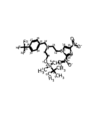 CC(C)(C)[Si](C)(C)OCCN(CCn1cc([N+](=O)[O-])nc1[N+](=O)[O-])Cc1ccc(C(F)(F)F)cc1